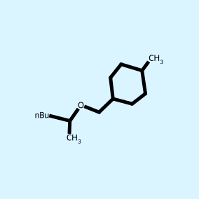 CCCCC(C)OCC1CCC(C)CC1